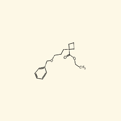 CCOC(=O)C1(CCCOCc2ccccc2)CCC1